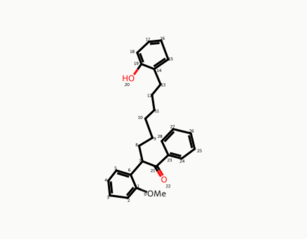 COc1ccccc1C(CCCCCCc1ccccc1O)C(=O)c1ccccc1